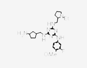 CCN1CCCC1CNc1nc(NCC2CCC(N)C2)nc(Nc2ccc(OC)c(F)c2)n1